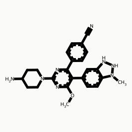 COc1nc(N2CCC(N)CC2)nc(-c2ccc(C#N)cc2)c1-c1ccc2c(c1)NNN2C